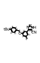 Cc1cc(OCc2ccc(C(C)(C)C)cc2)cc(-c2nn[nH]c2C#N)c1